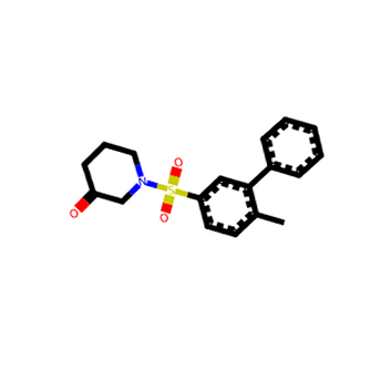 Cc1ccc(S(=O)(=O)N2CCCC(=O)C2)cc1-c1ccccc1